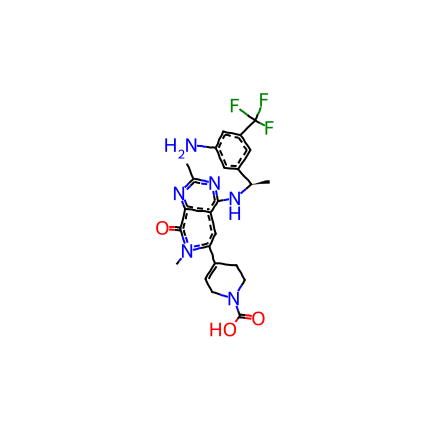 Cc1nc(N[C@H](C)c2cc(N)cc(C(F)(F)F)c2)c2cc(C3=CCN(C(=O)O)CC3)n(C)c(=O)c2n1